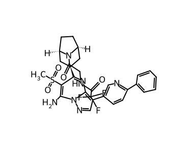 CS(=O)(=O)c1c([C@H]2C[C@H]3CC[C@@H](C2)N3C(=O)CNC(=O)C(F)(F)F)nc2c(-c3ccc(-c4ccccc4)nc3)cnn2c1N